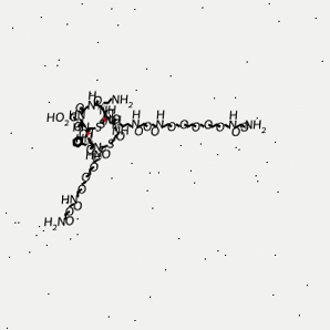 NCCC[C@@H]1NC(=O)[C@H]2NC(=O)[C@H](CCCCNC(=O)COCC(=O)NCCOCCOCCOCCOCCOCCNC(=O)CON)NC(=O)CSC[C@@H](C(=O)NCCOCCOCCOCCNC(=O)COCC(N)=O)NC(=O)[C@H](Cc3ccccc3)NC(=O)[C@H](CSS2)NC(=O)[C@H](CC(=O)O)NC(=O)CNC1=O